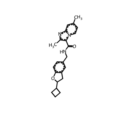 Cc1ccn2c(C(=O)NCc3ccc4c(c3)CC(C3CCC3)O4)c(C)nc2c1